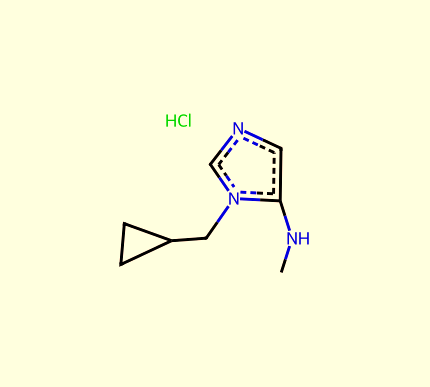 CNc1cncn1CC1CC1.Cl